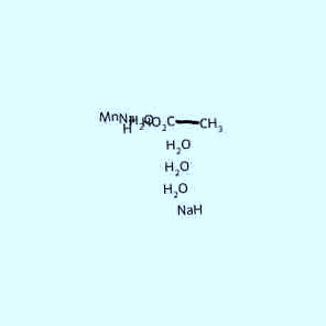 CC(=O)O.O.O.O.O.[Mn].[NaH].[NaH]